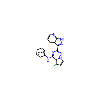 Fc1ccn2nc(-c3n[nH]c4ncccc34)nc(NC3CC4CCC3CC4)c12